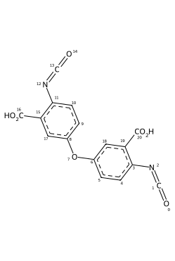 O=C=Nc1ccc(Oc2ccc(N=C=O)c(C(=O)O)c2)cc1C(=O)O